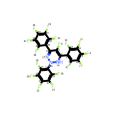 FC1=C(c2c(F)c(F)c(F)c(F)c2F)NN(c2c(F)c(F)c(F)c(F)c2F)N=C1c1c(F)c(F)c(F)c(F)c1F